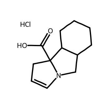 Cl.O=C(O)C12CC=CN1CC1CCCCC12